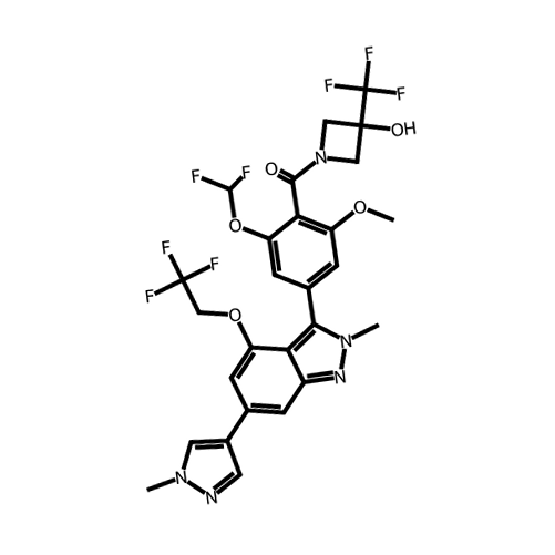 COc1cc(-c2c3c(OCC(F)(F)F)cc(-c4cnn(C)c4)cc3nn2C)cc(OC(F)F)c1C(=O)N1CC(O)(C(F)(F)F)C1